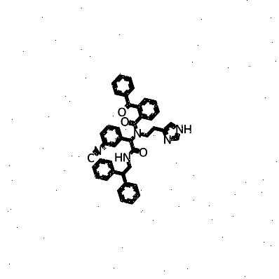 [C-]#[N+]c1cccc(C(C(=O)NCC(c2ccccc2)c2ccccc2)N(CCc2c[nH]cn2)C(=O)c2ccccc2C(=O)c2ccccc2)c1